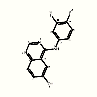 Oc1ccc2ncnc(Nc3ccc(F)c(F)c3)c2c1